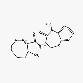 CC1CCCCN/N=C\1C(=O)N[C@H]1COc2ccccc2N(C)C1=O